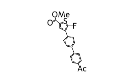 COC(=O)c1cc(-c2ccc(-c3ccc(C(C)=O)cc3)cc2)c(F)s1